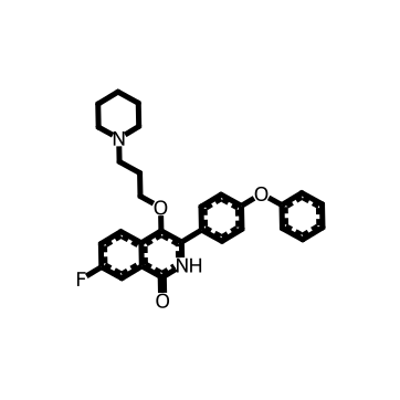 O=c1[nH]c(-c2ccc(Oc3ccccc3)cc2)c(OCCCN2CCCCC2)c2ccc(F)cc12